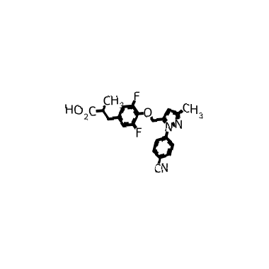 Cc1cc(COc2c(F)cc(CC(C)C(=O)O)cc2F)n(-c2ccc(C#N)cc2)n1